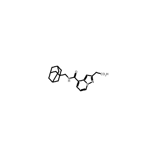 O=C(O)Cc1cc2c(C(=O)NCC34CC5CC(CC(C5)C3)C4)cccn2n1